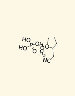 N#CCC1CCCO1.O.O=P(O)(O)O